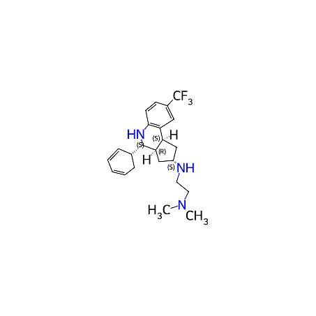 CN(C)CCN[C@@H]1C[C@@H]2[C@H](C1)c1cc(C(F)(F)F)ccc1N[C@H]2C1C=CC=CC1